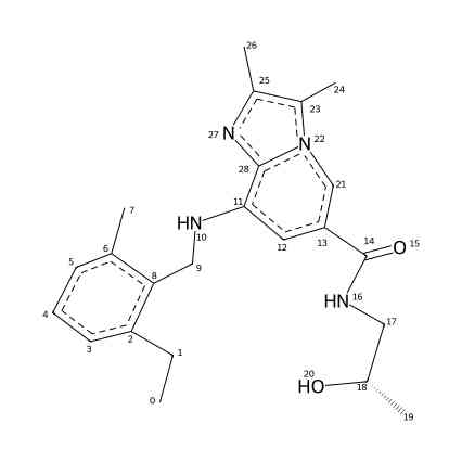 CCc1cccc(C)c1CNc1cc(C(=O)NC[C@H](C)O)cn2c(C)c(C)nc12